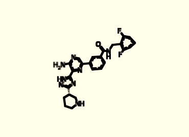 Nc1ncc(-c2cccc(C(=O)NCc3c(F)cccc3F)c2)nc1-c1nc([C@H]2CCCNC2)n[nH]1